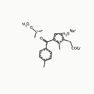 C[S+](C)[O-].Cc1ccc(C(=O)c2ccc(CC(=O)[O-])n2C)cc1.O.O.[Na+]